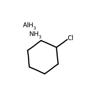 ClC1CCCCC1.N.[AlH3]